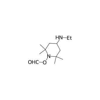 CCNC1CC(C)(C)N(OC=O)C(C)(C)C1